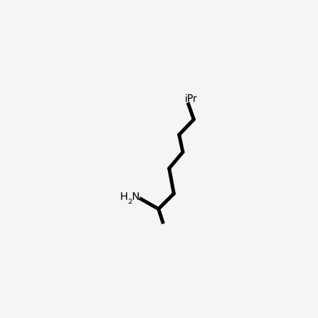 CC(C)CCCCCC(C)N